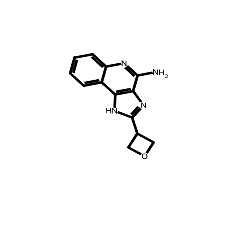 Nc1nc2ccccc2c2[nH]c(C3COC3)nc12